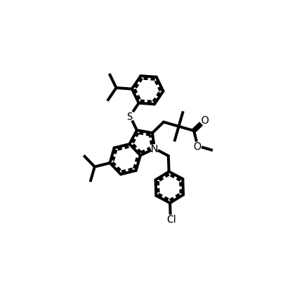 COC(=O)C(C)(C)Cc1c(Sc2ccccc2C(C)C)c2cc(C(C)C)ccc2n1Cc1ccc(Cl)cc1